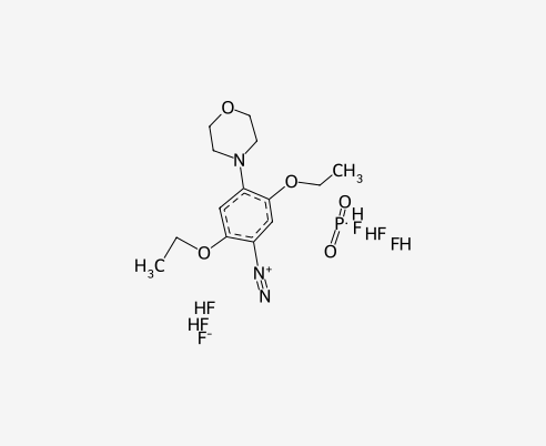 CCOc1cc(N2CCOCC2)c(OCC)cc1[N+]#N.F.F.F.F.F.O=[P]=O.[F-]